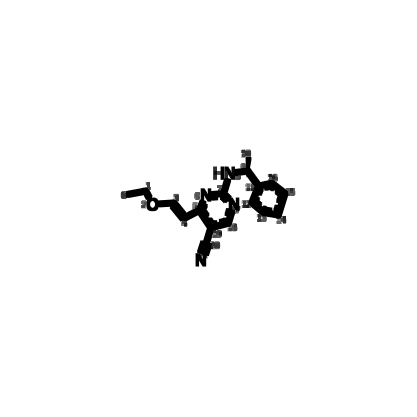 CCOC=Cc1nc(N[C@@H](C)c2ccccc2)ncc1C#N